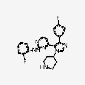 Fc1ccc(-c2ncn(C3CCNCC3)c2-c2ccnc(Nc3ccccc3F)n2)cc1